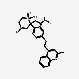 Cc1cc(COc2ccc(C3(CC(=O)NO)CN(C(C)C)CCS3(O)O)cc2)c2ccccc2n1